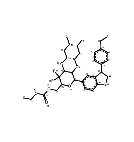 CCCCOC1C(c2ccc3c(c2)C(c2ccc(CC)cc2)CS3)OC(COC(=O)OCC)C(F)(F)C1OCCCC